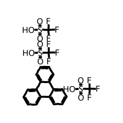 O=S(=O)(O)C(F)(F)F.O=S(=O)(O)C(F)(F)F.O=S(=O)(O)C(F)(F)F.c1ccc2c(c1)c1ccccc1c1ccccc21